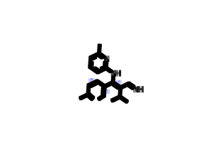 C=C(C)\C=C/C(=C\C)C(/Nc1cccc(C)n1)=C(/C=N)C(C)C